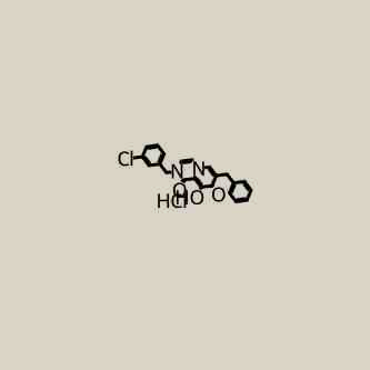 Cl.O=c1c(Cc2ccccc2)cn2ccn(Cc3cccc(Cl)c3)c(=O)c2c1O